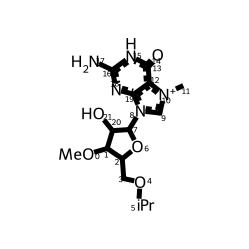 COC1C(COC(C)C)OC(n2c[n+](C)c3c(=O)[nH]c(N)nc32)C1O